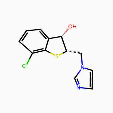 O[C@H]1c2cccc(Cl)c2S[C@H]1Cn1ccnc1